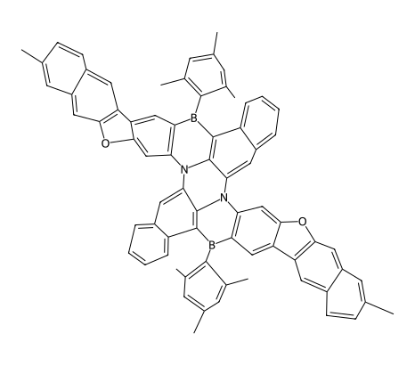 Cc1cc(C)c(B2c3cc4c(cc3N3c5cc6ccccc6c6c5N(c5cc7oc8cc9cc(C)ccc9cc8c7cc5B6c5c(C)cc(C)cc5C)c5cc6ccccc6c2c53)oc2cc3cc(C)ccc3cc24)c(C)c1